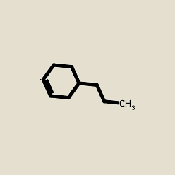 CCCC1CC=[C]CC1